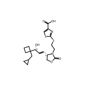 O=C(O)c1csc(SCCN2C(=O)OC[C@@H]2C=C[C@@H](O)C2(CC3CC3)CCC2)n1